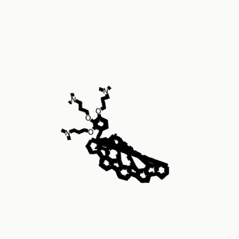 CN(C)CCCOc1ccc(C2N(C)CC34C5=c6ccc7c8ccc9c%10ccc%11c%12ccc%13c%14c(c%15c%16c3c6c7c3c8c9c6c%10c%11c(c%14%12)c%15c6c%163)C24C=%13C=C5)c(OCCCN(C)C)c1OCCCN(C)C